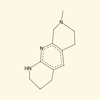 CN1CCc2cc3c(nc2C1)NCCC3